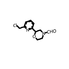 O=CN1CCOC(c2cccc(CCl)n2)C1